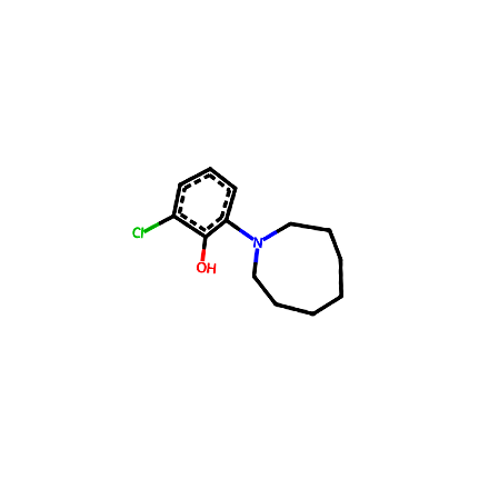 Oc1c(Cl)cccc1N1CCCCCCC1